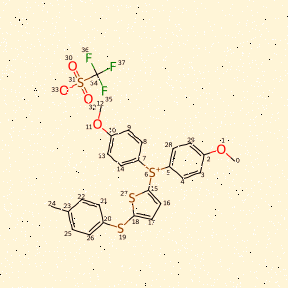 COc1ccc([S+](c2ccc(OC)cc2)c2ccc(Sc3ccc(C)cc3)s2)cc1.O=S(=O)([O-])C(F)(F)F